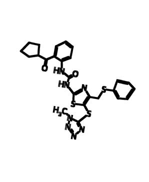 Cn1nnnc1Sc1sc(NC(=O)Nc2ccccc2C(=O)C2CCCC2)nc1CSc1ccccc1